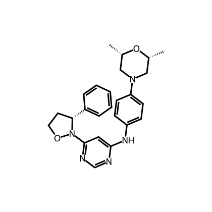 C[C@@H]1CN(c2ccc(Nc3cc(N4OCC[C@@H]4c4ccccc4)ncn3)cc2)C[C@H](C)O1